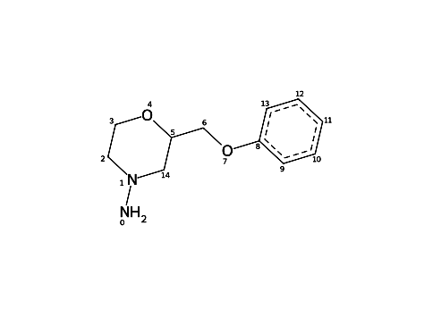 NN1CCOC(COc2ccccc2)C1